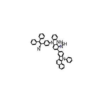 N#CC(=C(c1ccccc1)c1ccccc1)c1ccc(N(C2=CC=C(c3ccc4c(c3)c3ccc5ccccc5c3n4-c3ccccc3)/C(=N/S)C2=N)c2ccccc2)cc1